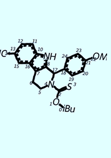 CCC(C)OC(=S)N1CCc2c([nH]c3ccc(C#N)cc23)C1c1ccc(OC)cc1